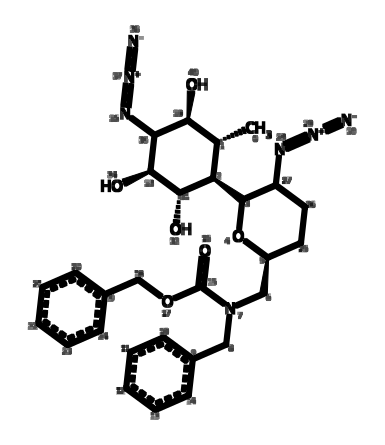 C[C@@H]1[C@@H](C2O[C@H](CN(Cc3ccccc3)C(=O)OCc3ccccc3)CCC2N=[N+]=[N-])[C@H](O)[C@@H](O)C(N=[N+]=[N-])[C@H]1O